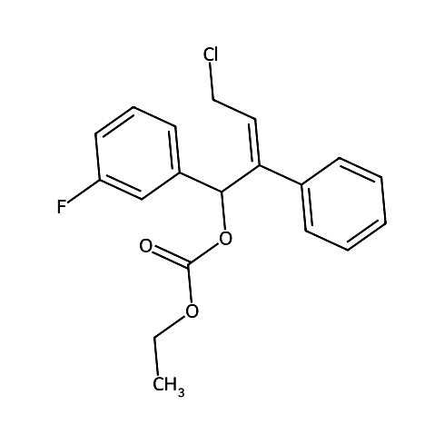 CCOC(=O)OC(C(=CCCl)c1ccccc1)c1cccc(F)c1